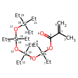 C=C(C)C(=O)O[Si](CC)(CC)O[Si](CC)(CC)O[Si](CC)(CC)O[Si](CC)(CC)CC